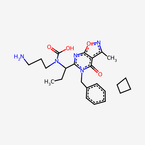 C1CCC1.CCC(c1nc2onc(C)c2c(=O)n1Cc1ccccc1)N(CCCN)C(=O)O